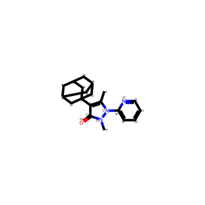 Cc1c(C23CC4CC(CC(C4)C2)C3)c(=O)n(C)n1-c1ccccn1